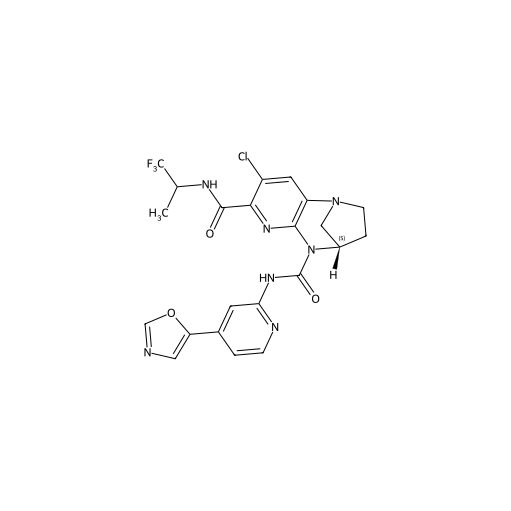 CC(NC(=O)c1nc2c(cc1Cl)N1CC[C@@H](C1)N2C(=O)Nc1cc(-c2cnco2)ccn1)C(F)(F)F